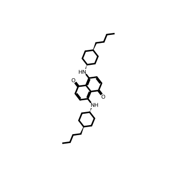 CCCC[C@H]1CC[C@H](NC2=C3C(=O)C=CC(N[C@H]4CC[C@H](CCCC)CC4)=C3C(=O)C=C2)CC1